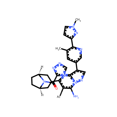 CC(=O)c1c(C2C[C@H]3CC[C@@H](C2)N3C(=O)c2nnc[nH]2)nc2c(-c3cnc(-c4ccn(C)n4)c(C)c3)cnn2c1N